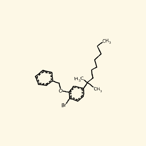 CCCCCCCC(C)(C)c1ccc(Br)c(OCc2ccccc2)c1